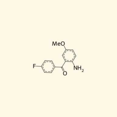 COc1ccc(N)c(C(=O)c2ccc(F)cc2)c1